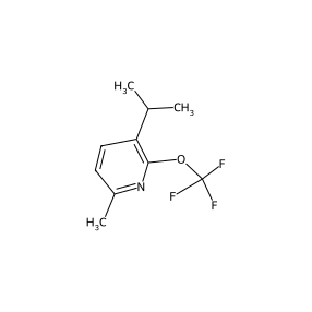 Cc1ccc(C(C)C)c(OC(F)(F)F)n1